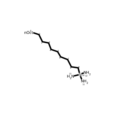 CCCCCCCCCCCCCCCCC[Si](N)(N)N